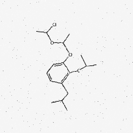 CC(C)Cc1cccc(OC(C)OC(C)Cl)c1CC(C)C